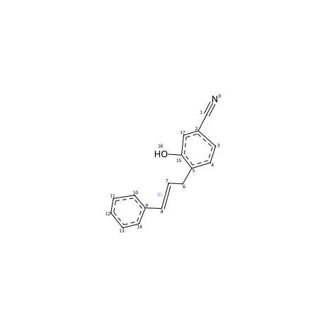 N#Cc1ccc(C/C=C/c2ccccc2)c(O)c1